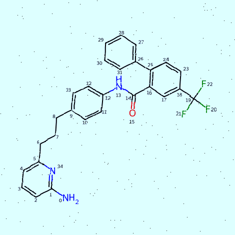 Nc1cccc(CCCc2ccc(NC(=O)c3cc(C(F)(F)F)ccc3-c3ccccc3)cc2)n1